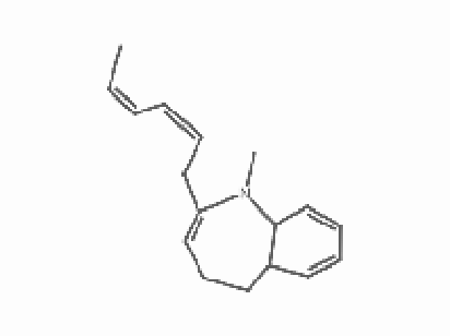 C/C=C\C=C/CC1=CCCC2C=CC=CC2N1C